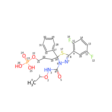 CCONC(=O)N1N=C(c2cc(F)ccc2F)SC1(CCCOP(=O)(O)O)c1ccccc1